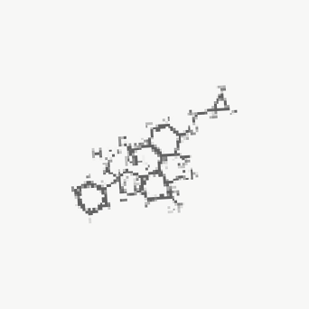 NC[C@@]1(c2ccccc2)Cc2c(cc(F)c(Cl)c2C2=C(C(N)=O)C=CC(OCC3CC3)C2F)O1